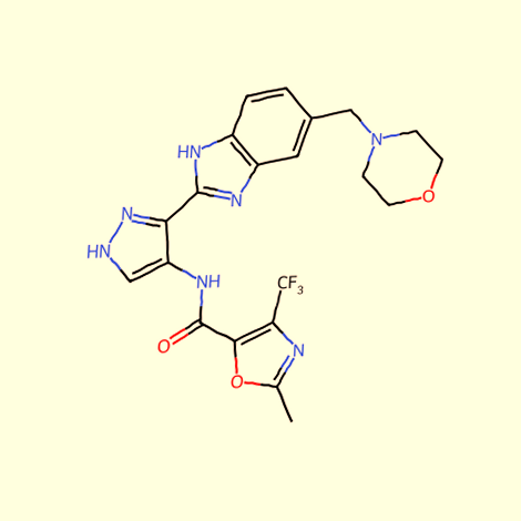 Cc1nc(C(F)(F)F)c(C(=O)Nc2c[nH]nc2-c2nc3cc(CN4CCOCC4)ccc3[nH]2)o1